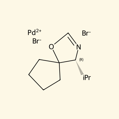 CC(C)[C@H]1N=COC12CCCC2.[Br-].[Br-].[Pd+2]